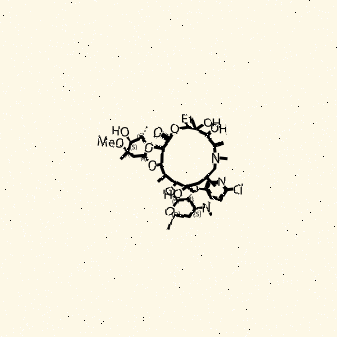 CCC1OC(=O)C(C)C(O[C@H]2C[C@@](C)(OC)[C@@H](O)[C@H](C)O2)C(C)C(O[C@@H]2O[C@H](C)C[C@H](N(C)C)[C@H]2Oc2ccc(Cl)nc2)C(C)(O)CC(C)CN(C)C(C)C(O)C1(C)O